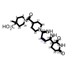 CC1(C(=O)O)CCN(C(=O)C2CCN(C(=N)/C=C\C(=N)C3CCC(=O)NC3=O)CC2)CC1